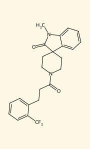 CN1C(=O)C2(CCN(C(=O)CCc3ccccc3C(F)(F)F)CC2)c2ccccc21